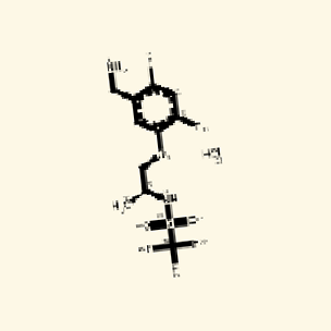 C[C@@H](COc1cc(CN)c(F)cc1F)NS(=O)(=O)C(F)(F)F.Cl